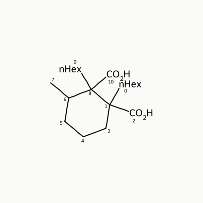 CCCCCCC1(C(=O)O)CCCC(C)C1(CCCCCC)C(=O)O